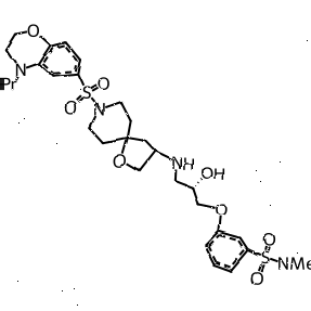 CNS(=O)(=O)c1cccc(OC[C@@H](O)CNC2COC3(CCN(S(=O)(=O)c4ccc5c(c4)N(C(C)C)CCO5)CC3)C2)c1